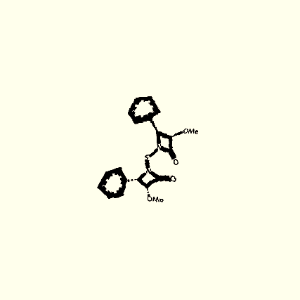 CO[C@H]1C(=O)N(SN2C(=O)[C@H](OC)[C@@H]2c2ccccc2)[C@H]1c1ccccc1